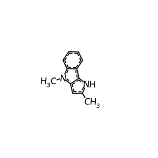 Cc1cc2c([nH]1)c1ccccc1n2C